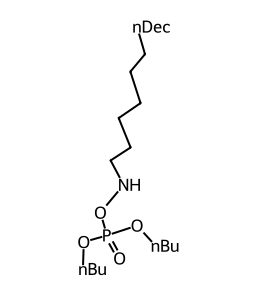 CCCCCCCCCCCCCCCCNOP(=O)(OCCCC)OCCCC